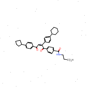 O=C(O)CCNC(=O)c1ccc(C(=O)/C(=C\C(=O)c2ccc(C3CCCC3)cc2)c2ccc(C3CCCCC3)cc2)cc1